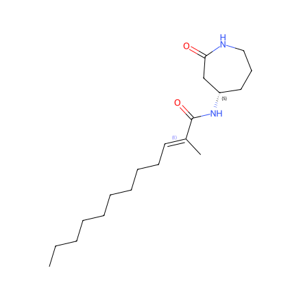 CCCCCCCCC/C=C(\C)C(=O)N[C@H]1CCCNC(=O)C1